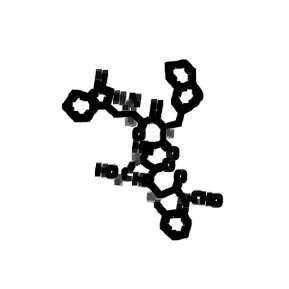 N[C@@H](Cc1c[nH]c2ccccc12)C(=O)N[C@@H](Cc1ccc2ccccc2c1)C(=O)N[C@@H](CC(=O)O)C(=O)N[C@@H](Cc1ccccc1)C(=O)NC=O